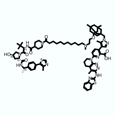 Cc1ncsc1-c1ccc([C@H](C)NC(=O)[C@@H]2C[C@@H](O)CN2C(=O)[C@@H](NC(=O)C2CCN(C(=O)CCCCCCCCCCN(C)CCOC34CC5(C)CC(C)(CC(Cn6ncc(-c7ccc(N8CCCc9c8nnc(Nc8nc%10ccccc%10s8)c9C)nc7C(=O)O)c6C)(C5)C3)C4)CC2)C(C)(C)C)cc1